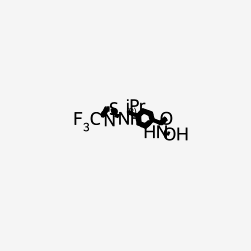 CC(C)[C@@H](Nc1nc(C(F)(F)F)cs1)c1ccc(C(=O)NO)cc1